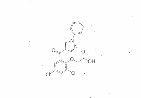 O=C(O)COc1c(Cl)cc(Cl)cc1C(=O)C1C=NN(c2ccccc2)C1